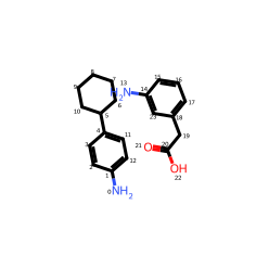 Nc1ccc(C2CCCCC2)cc1.Nc1cccc(CC(=O)O)c1